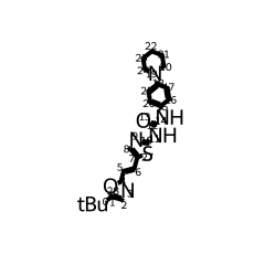 CC(C)(C)c1cnc(C=Cc2cnc(NC(=O)Nc3ccc(N4CCCCC4)cc3)s2)o1